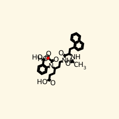 CC(=O)NC(Cc1cccc2ccccc12)C(=O)NCCC(CCC(=O)O)N(C(=O)C(=O)O)c1ccccc1C(=O)O